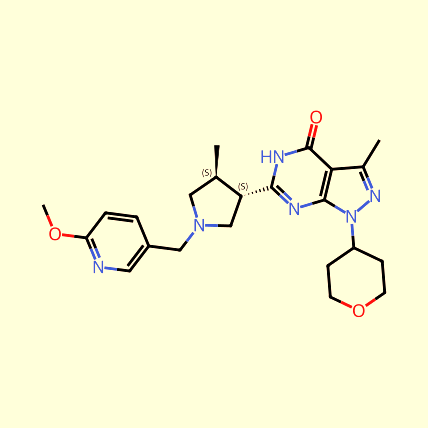 COc1ccc(CN2C[C@@H](C)[C@H](c3nc4c(c(C)nn4C4CCOCC4)c(=O)[nH]3)C2)cn1